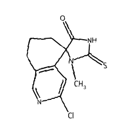 CN1C(=S)NC(=O)C12CCCc1cnc(Cl)cc12